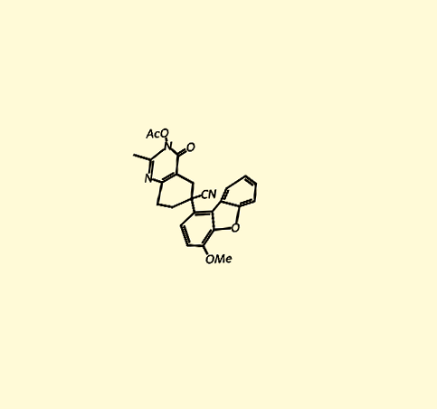 COc1ccc(C2(C#N)CCc3nc(C)n(OC(C)=O)c(=O)c3C2)c2c1oc1ccccc12